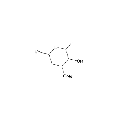 COC1CC(C(C)C)OC(C)C1O